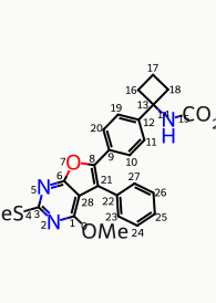 COc1nc(SC)nc2oc(-c3ccc(C4(NC(=O)O)CCC4)cc3)c(-c3ccccc3)c12